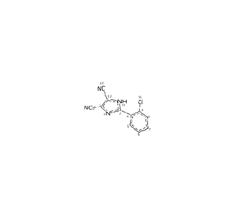 N#Cc1nc(-c2ccccc2Cl)[nH]c1C#N